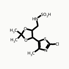 Cc1nc(Cl)sc1C1OC(C)(C)OC1CNS(=O)(=O)O